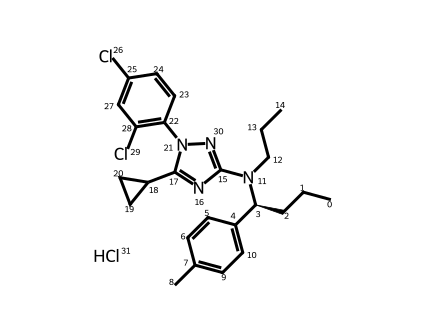 CCC[C@@H](c1ccc(C)cc1)N(CCC)c1nc(C2CC2)n(-c2ccc(Cl)cc2Cl)n1.Cl